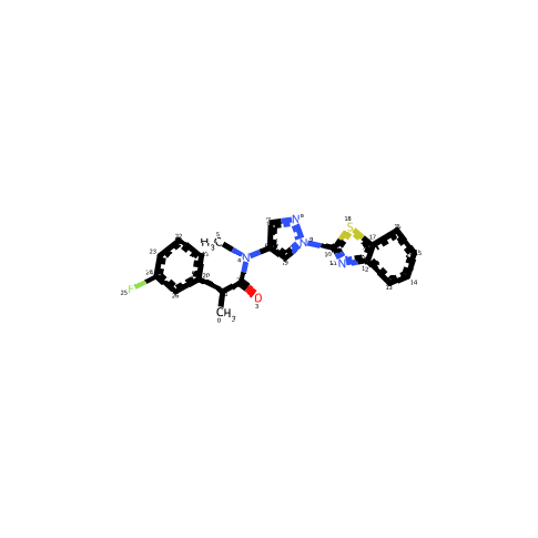 CC(C(=O)N(C)c1cnn(-c2nc3ccccc3s2)c1)c1cccc(F)c1